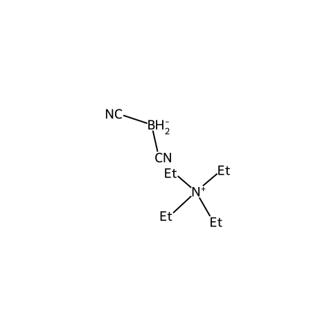 CC[N+](CC)(CC)CC.N#C[BH2-]C#N